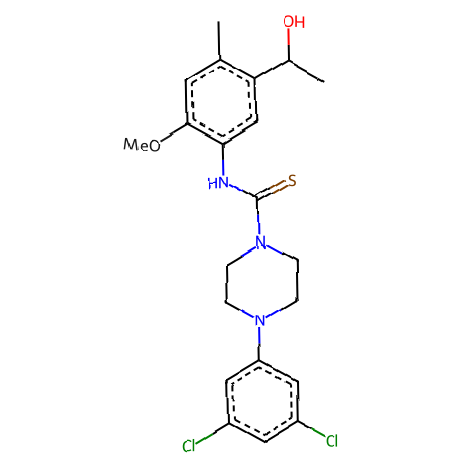 COc1cc(C)c(C(C)O)cc1NC(=S)N1CCN(c2cc(Cl)cc(Cl)c2)CC1